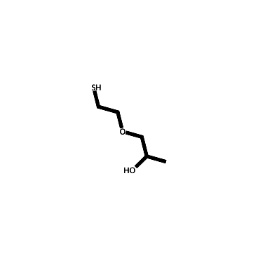 CC(O)COCCS